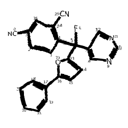 N#Cc1ccc(C(F)(c2cncnc2)c2ccc(-c3ccccc3)o2)c(C#N)c1